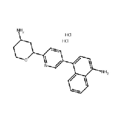 Cl.Cl.Nc1ccc(-c2ccc(C3CC(N)CCO3)nc2)c2ccccc12